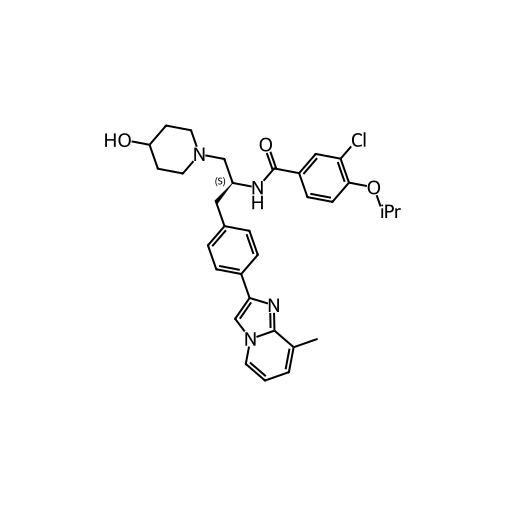 Cc1cccn2cc(-c3ccc(C[C@@H](CN4CCC(O)CC4)NC(=O)c4ccc(OC(C)C)c(Cl)c4)cc3)nc12